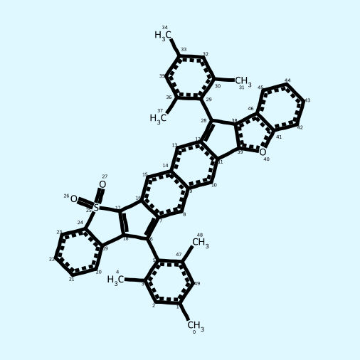 Cc1cc(C)c(C2=c3cc4cc5c(cc4cc3C3=C2c2ccccc2S3(=O)=O)=C(c2c(C)cc(C)cc2C)c2c-5oc3ccccc23)c(C)c1